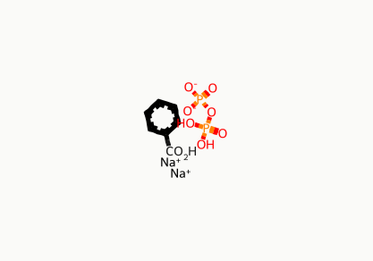 O=C(O)c1ccccc1.O=P([O-])([O-])OP(=O)(O)O.[Na+].[Na+]